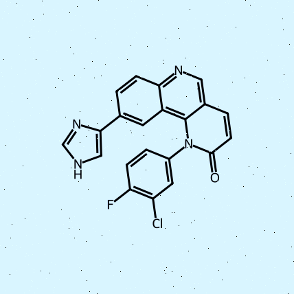 O=c1ccc2cnc3ccc(-c4c[nH]cn4)cc3c2n1-c1ccc(F)c(Cl)c1